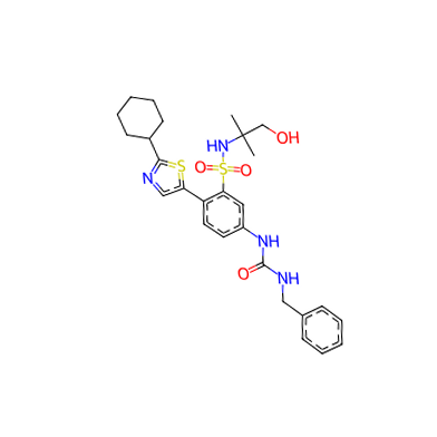 CC(C)(CO)NS(=O)(=O)c1cc(NC(=O)NCc2ccccc2)ccc1-c1cnc(C2CCCCC2)s1